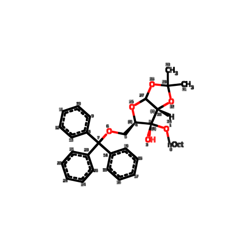 CCCCCCCCO[C@]1(O)[C@@H](COC(c2ccccc2)(c2ccccc2)c2ccccc2)OC2OC(C)(C)O[C@@H]21